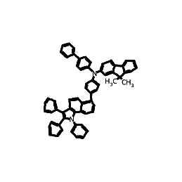 CC1(C)c2ccccc2-c2ccc(N(c3ccc(-c4ccccc4)cc3)c3ccc(-c4cccc5c4ccc4c(-c6ccccc6)c(-c6ccccc6)n(-c6ccccc6)c45)cc3)cc21